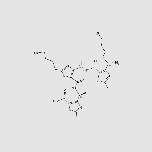 Cc1nc([C@H](C)NC(=O)c2sc(CCCCN)nc2[C@H](C)NC(O)c2sc(C)nc2[C@@H](N)CCCCN)c(C(N)=O)s1